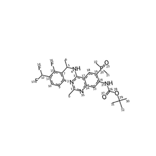 Cc1nc(NC(C)c2cccc(C(F)F)c2F)c2cc(P(C)(C)=O)c(NC(=O)OC(C)(C)C)cc2n1